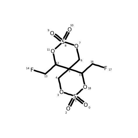 O=S1(=O)OCC2(COS(=O)(=O)OC2CF)C(CF)O1